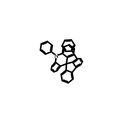 c1ccc(-c2cccc3c2C2(c4ccccc4-3)c3ccccc3N(c3ccccc3)c3ccccc32)cc1